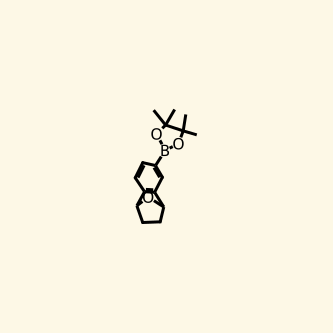 CC1(C)OB(c2ccc3c(c2)C2CCC3O2)OC1(C)C